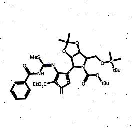 CCOC(=O)c1[nH]cc(C2C3OC(C)(C)OC3C(CO[Si](C)(C)C(C)(C)C)N2C(=O)OC(C)(C)C)c1/N=C(\NC(=O)c1ccccc1)SC